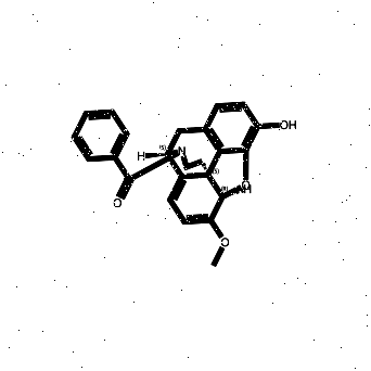 COC1=CC=C2[C@@H]3Cc4ccc(O)c5c4[C@@]2(CCN3C(=O)c2ccccc2)[C@H]1O5